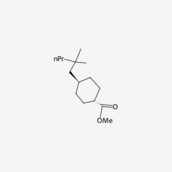 CCCC(C)(C)C[C@H]1CC[C@H](C(=O)OC)CC1